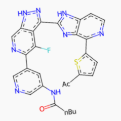 CCCCC(=O)Nc1cncc(-c2ncc3[nH]nc(-c4nc5c(-c6ccc(C(C)=O)s6)nccc5[nH]4)c3c2F)c1